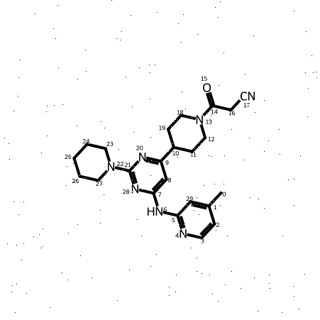 Cc1ccnc(Nc2cc(C3CCN(C(=O)CC#N)CC3)nc(N3CCCCC3)n2)c1